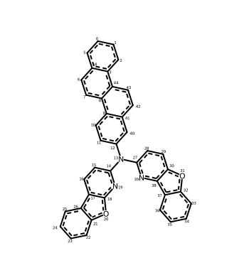 c1ccc2c(c1)ccc1c3ccc(N(c4ccc5c(n4)oc4ccccc45)c4ccc5oc6ccccc6c5n4)cc3ccc21